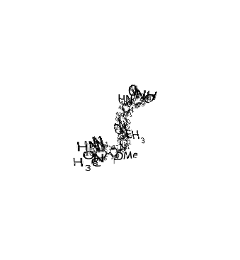 COC1(F)C=C(c2cn(C)c(=O)c3[nH]ncc23)C=CC1CN1CCC(N(C)C(=O)N2CCC(c3ccc(NC4CCC(=O)NC4=O)cc3)CC2)CC1